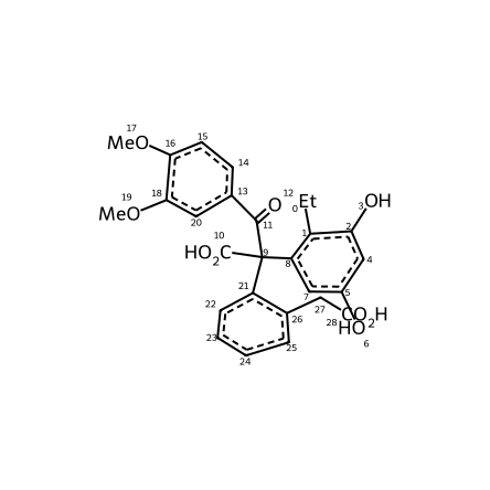 CCc1c(O)cc(O)cc1C(C(=O)O)(C(=O)c1ccc(OC)c(OC)c1)c1ccccc1CC(=O)O